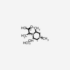 CC1CN(C)CCN1C(C)C(=O)O.Cl.Cl